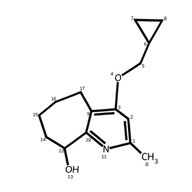 Cc1cc(OCC2CC2)c2c(n1)C(O)CCCC2